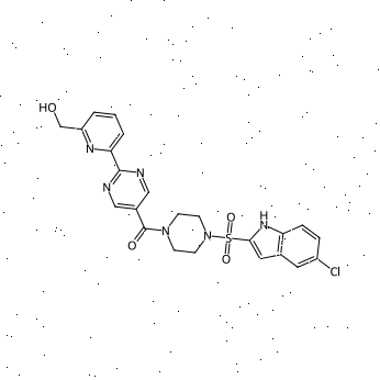 O=C(c1cnc(-c2cccc(CO)n2)nc1)N1CCN(S(=O)(=O)c2cc3cc(Cl)ccc3[nH]2)CC1